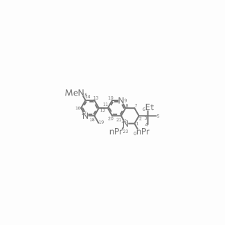 CCCC1C(C(C)(C)CC)Cc2ncc(-c3cc(NC)cnc3C)cc2N1CCC